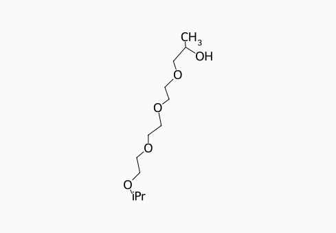 CC(O)COCCOCCOCCOC(C)C